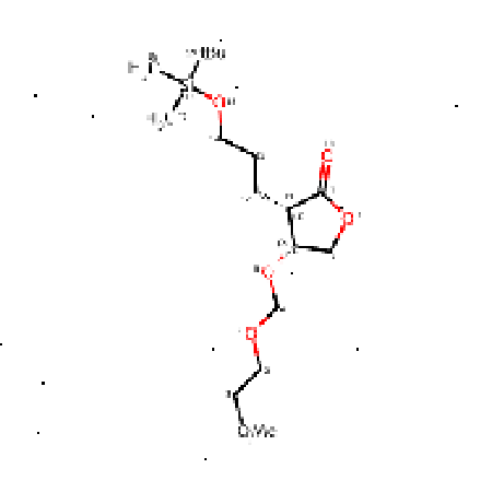 COCCOCO[C@H]1COC(=O)[C@H]1CCCO[Si](C)(C)C(C)(C)C